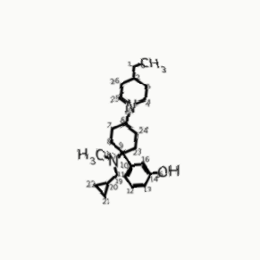 CCC1CCN(C2CCC(c3cccc(O)c3)(N(C)CC3CC3)CC2)CC1